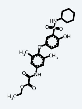 CCOC(=O)C(=O)Nc1cc(C)c(Oc2ccc(O)c(S(=O)(=O)NC3CCCCC3)c2)c(C)c1